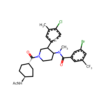 CC(=O)N[C@H]1CC[C@H](C(=O)N2CCC(N(C)C(=O)c3cc(Br)cc(C(F)(F)F)c3)C(c3ccc(Cl)c(C)c3)C2)CC1